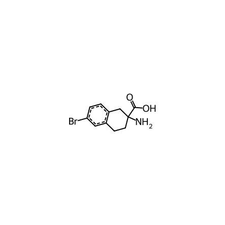 NC1(C(=O)O)CCc2cc(Br)ccc2C1